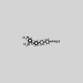 CCCCCCCC1CCC(C2CCC(c3ccc(Oc4ccc(N)cc4N)cc3)CC2)CC1